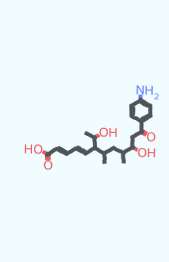 CC(O)C(C=CC=CC(=O)O)C(C)CC(C)C(O)CC(=O)c1ccc(N)cc1